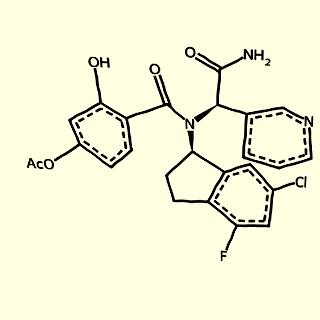 CC(=O)Oc1ccc(C(=O)N([C@@H]2CCc3c(F)cc(Cl)cc32)[C@@H](C(N)=O)c2cccnc2)c(O)c1